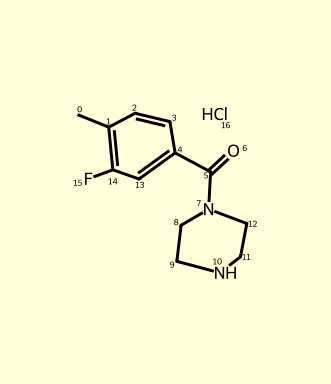 Cc1ccc(C(=O)N2CCNCC2)cc1F.Cl